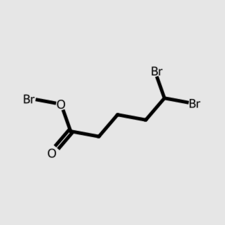 O=C(CCCC(Br)Br)OBr